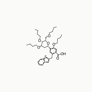 CCCCOC[C@H]1O[C@@H](c2cc(Cc3cc4ccccc4s3)c(C(=O)O)cc2OCCCC)C[C@@H](OCCCC)[C@@H]1OCCCC